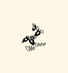 COc1cc(-c2cc(C)cc(C)c2)c(S(=O)(=O)Nc2ccc(Cl)c(O[C@@H]3CCN(C)C3)c2)cc1OC